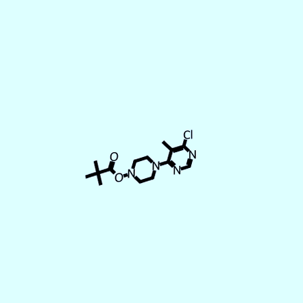 Cc1c(Cl)ncnc1N1CCN(OC(=O)C(C)(C)C)CC1